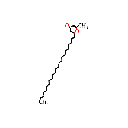 CCCCCCCCCCCCCCCCCCCCCC=CC1CC(=O)C=C(C)O1